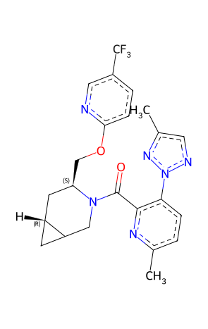 Cc1ccc(-n2ncc(C)n2)c(C(=O)N2CC3C[C@@H]3C[C@H]2COc2ccc(C(F)(F)F)cn2)n1